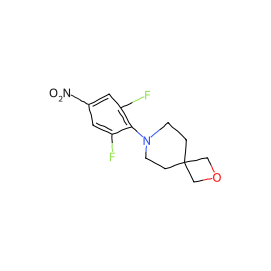 O=[N+]([O-])c1cc(F)c(N2CCC3(CC2)COC3)c(F)c1